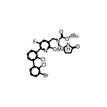 COc1nc(-c2cccc(-c3cccc(Br)c3Cl)c2Cl)c(F)cc1CN(C[C@@H]1CCC(=O)N1)C(=O)OC(C)(C)C